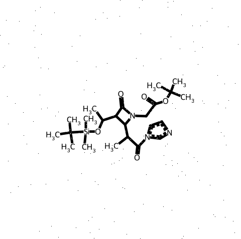 CC(O[Si](C)(C)C(C)(C)C)C1C(=O)N(CC(=O)OC(C)(C)C)C1C(C)C(=O)n1ccnc1